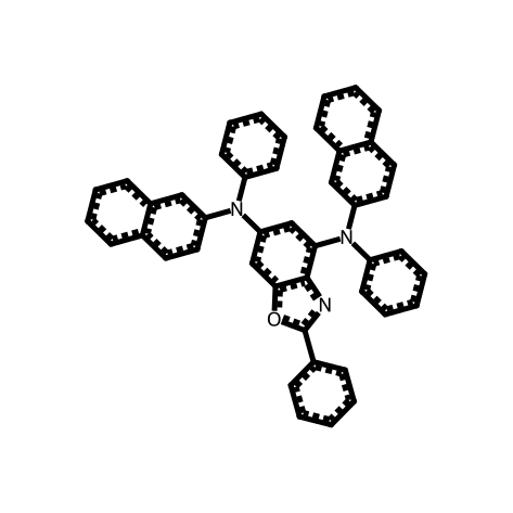 c1ccc(-c2nc3c(N(c4ccccc4)c4ccc5ccccc5c4)cc(N(c4ccccc4)c4ccc5ccccc5c4)cc3o2)cc1